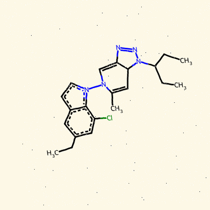 CCc1cc(Cl)c2c(ccn2N2C=C3N=NN(C(CC)CC)C3C=C2C)c1